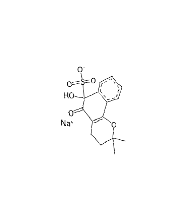 CC1(C)CCC2=C(O1)c1ccccc1C(O)(S(=O)(=O)[O-])C2=O.[Na+]